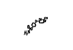 NC(=O)Oc1ccc(Oc2ccnc(Cl)n2)cc1